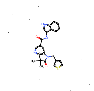 CC1(C)C(=O)N(Cc2ccsc2)c2cc(C(=O)Nc3c[nH]c4ccccc34)cnc21